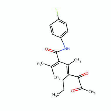 CCC/C(C(=O)C(C)=O)=C(/C)C(C(=O)Nc1ccc(F)cc1)=C(C)C